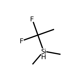 C[SiH](C)C(C)(F)F